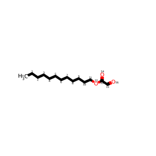 CCCCCCCCCCCCOC(=O)C=O